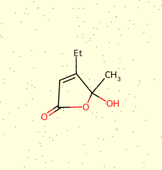 CCC1=CC(=O)OC1(C)O